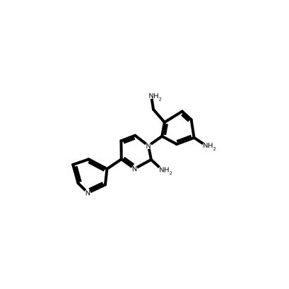 NCc1ccc(N)cc1N1C=CC(c2cccnc2)=NC1N